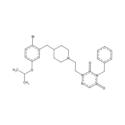 CC(C)Oc1ccc(Br)c(CC2CCN(CCn3ncc(=O)n(Cc4ccccc4)c3=O)CC2)c1